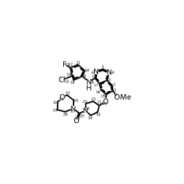 COc1cc2ncnc(Nc3ccc(F)c(Cl)c3)c2cc1OC1CCN(C(=O)N2CCCOCC2)CC1